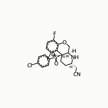 N#CC[C@@H]1CC[C@]2(S(=O)(=O)c3ccc(Cl)cc3)c3c(F)ccc(F)c3OC[C@H]2N1